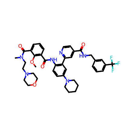 COc1c(C(=O)Nc2ccc(N3CCCCC3)cc2-c2cc(C(=O)NCc3cccc(C(F)(F)F)c3)ccn2)cccc1C(=O)N(C)CCN1CCOCC1